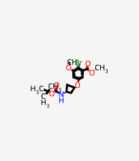 COC(=O)c1cc(O[C@H]2C[C@H](NC(=O)OC(C)(C)C)C2)cc(OC)c1Br